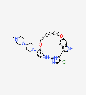 CN1CCN(C2CCN(c3ccc4cc3OCCCCCCOc3ccc5c(cn(C)c5c3)-c3nc(ncc3Cl)N4)CC2)CC1